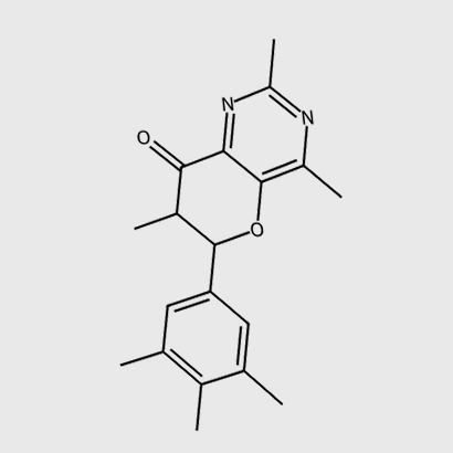 Cc1nc(C)c2c(n1)C(=O)C(C)C(c1cc(C)c(C)c(C)c1)O2